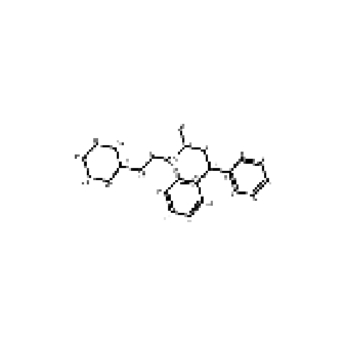 CC(CC(c1ccccc1)c1ccccc1)OCCC1CCCCC1